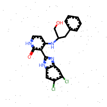 O=c1[nH]ccc(NC(CO)Cc2ccccc2)c1-c1nc2cc(Cl)c(Cl)cc2[nH]1